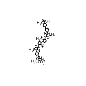 Cc1c(NC(=O)c2nc3c(n2C)CCN(C2CCC(C)(C(=O)O)CC2)C3)cccc1-c1cccc(NC(=O)c2nc3c(n2C)CCN(C(=O)OC(C)(C)C)C3)c1Cl